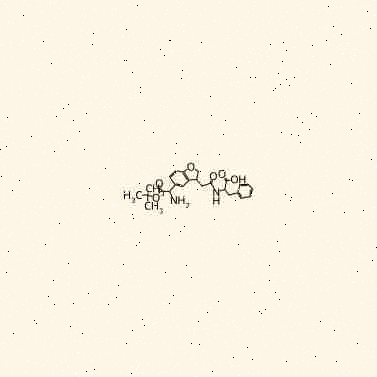 CC(C)(C)OC(=O)C(N)c1ccc2c(c1)C(CC(=O)NC(Cc1ccccc1)C(=O)O)CO2